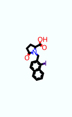 O=C(O)C1CCC(=O)N1Cc1ccc2ccccc2c1I